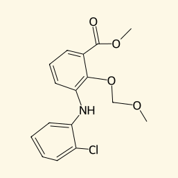 COCOc1c(Nc2ccccc2Cl)cccc1C(=O)OC